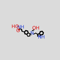 O=C(C=Cc1ccc2c(c1)CC[C@H]2N(CCO)CCc1c[nH]c2ccccc12)NO